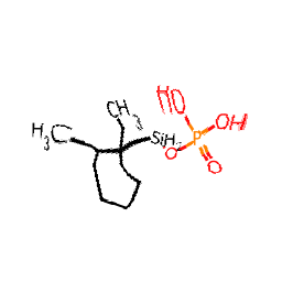 CC1CCCC1(C)[SiH2]OP(=O)(O)O